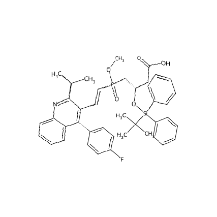 COP(=O)(/C=C/c1c(C(C)C)nc2ccccc2c1-c1ccc(F)cc1)C[C@H](CC(=O)O)O[Si](c1ccccc1)(c1ccccc1)C(C)(C)C